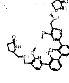 COc1nc(-c2cccc(-c3cccc(-c4cnc(CNC[C@@H]5CCC(=O)N5)c(OC)n4)c3Cl)c2F)ccc1CNCC1CCC(=O)N1